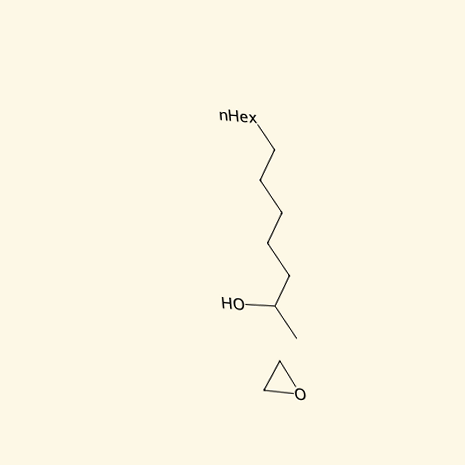 C1CO1.CCCCCCCCCCCC(C)O